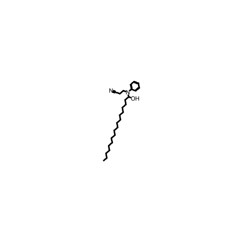 CCCCCCCCCCCCCCCCCC(O)N(CCC#N)c1ccccc1